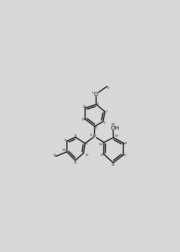 COc1ccc(P(c2ccc(C)cc2)c2ccccc2O)cc1